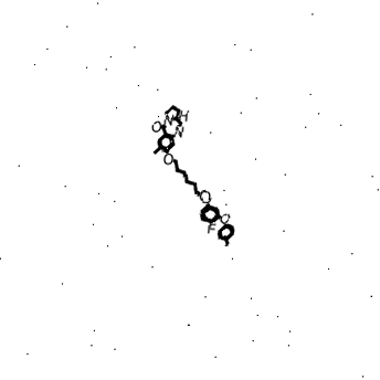 Cc1ccc(Oc2cc(OCCCCCCOc3cc4c(cc3C)C(=O)N3CCC[C@H]3C=N4)ccc2F)cc1